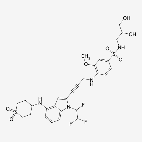 COc1cc(S(=O)(=O)NCC(O)CO)ccc1NCC#Cc1cc2c(NC3CCS(=O)(=O)CC3)cccc2n1C(F)C(F)F